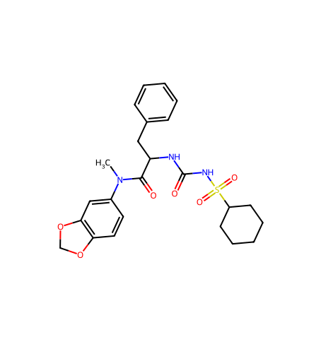 CN(C(=O)C(Cc1ccccc1)NC(=O)NS(=O)(=O)C1CCCCC1)c1ccc2c(c1)OCO2